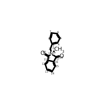 C[N+]1(Cc2ccccc2)C(=O)c2ccccc2C1=O